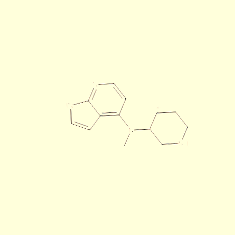 C[C@@H]1CCNCC1N(C)c1ccnc2[nH]ccc12